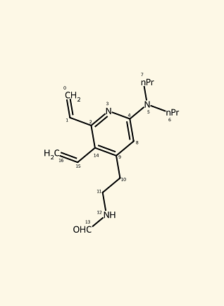 C=Cc1nc(N(CCC)CCC)cc(CCNC=O)c1C=C